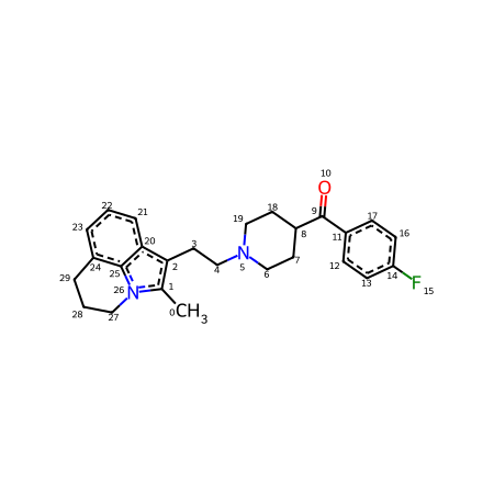 Cc1c(CCN2CCC(C(=O)c3ccc(F)cc3)CC2)c2cccc3c2n1CCC3